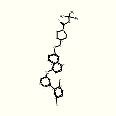 CC(C)(C)OC(=O)N1CCC(COc2ccc3c(Nc4cnnc(-c5cc(Cl)ccc5F)c4)ccnc3c2)CC1